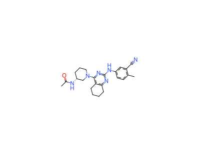 CC(=O)N[C@@H]1CCCN(c2nc(Nc3ccc(C)c(C#N)c3)nc3c2CCCC3)C1